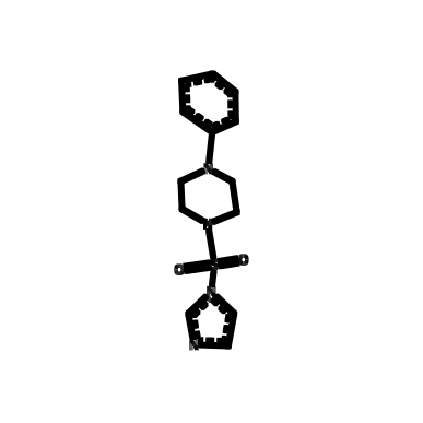 O=S(=O)(N1CCN(c2ccccc2)CC1)n1ccnc1